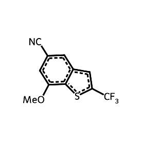 COc1cc(C#N)cc2cc(C(F)(F)F)sc12